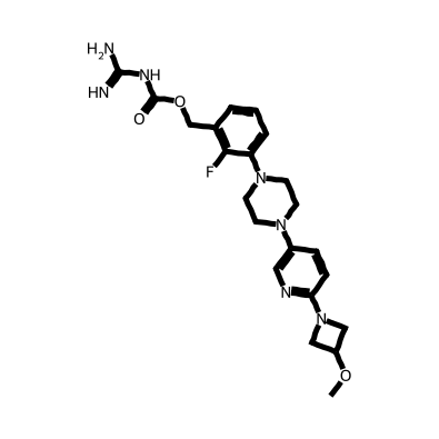 COC1CN(c2ccc(N3CCN(c4cccc(COC(=O)NC(=N)N)c4F)CC3)cn2)C1